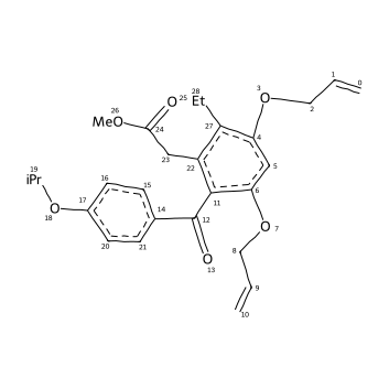 C=CCOc1cc(OCC=C)c(C(=O)c2ccc(OC(C)C)cc2)c(CC(=O)OC)c1CC